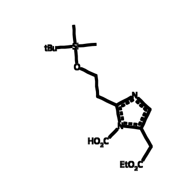 CCOC(=O)Cc1cnc(CCO[Si](C)(C)C(C)(C)C)n1C(=O)O